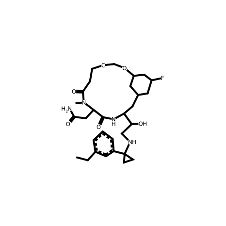 CCc1cccc(C2(NCC(O)C3CC4CC(F)CC(C4)OCCCCC(=O)N(C)C(CC(N)=O)C(=O)N3)CC2)c1